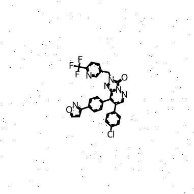 O=c1n(Cc2ccc(C(F)(F)F)nc2)nc2c(-c3ccc(-c4ccon4)cc3)c(-c3ccc(Cl)cc3)cnn12